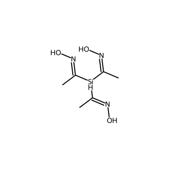 CC(=NO)[SiH](C(C)=NO)C(C)=NO